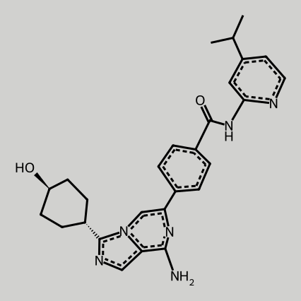 CC(C)c1ccnc(NC(=O)c2ccc(-c3cn4c(cnc4[C@H]4CC[C@H](O)CC4)c(N)n3)cc2)c1